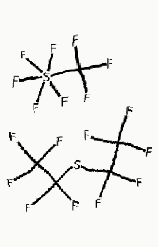 FC(F)(F)C(F)(F)SC(F)(F)C(F)(F)F.FC(F)(F)S(F)(F)(F)(F)F